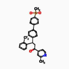 Cc1cc(C(=O)CC(c2ccc(-c3ccc(S(C)(=O)=O)cc3)cc2)c2ccccc2C(F)(F)F)ccn1